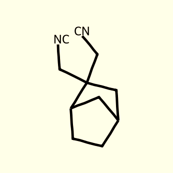 [C-]#[N+]CC1(C[N+]#[C-])CC2CCC1C2